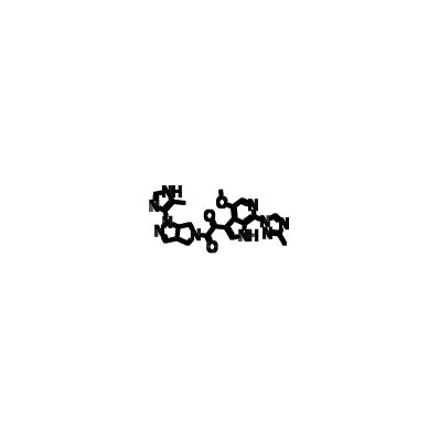 COc1cnc(-n2cnc(C)n2)c2[nH]cc(C(=O)C(=O)N3CC4C=NN(c5nc[nH]c5C)C4C3)c12